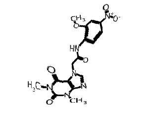 COc1cc([N+](=O)[O-])ccc1NC(=O)Cn1cnc2c1c(=O)n(C)c(=O)n2C